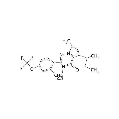 CCC(C)c1cc(C)n2nc(-c3ccc(OC(F)(F)F)cc3C)n(C3CC3)c(=O)c12